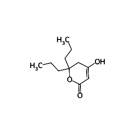 CCCC1(CCC)CC(O)=CC(=O)O1